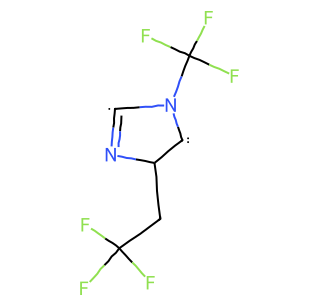 FC(F)(F)CC1[C]N(C(F)(F)F)[C]=N1